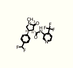 CN1C[C@H](c2ccc(C(F)F)cc2)[C@@H](C(=O)Nc2cnccc2C(F)(F)F)C1=O